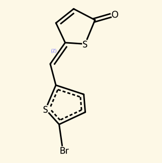 O=C1C=C/C(=C/c2ccc(Br)s2)S1